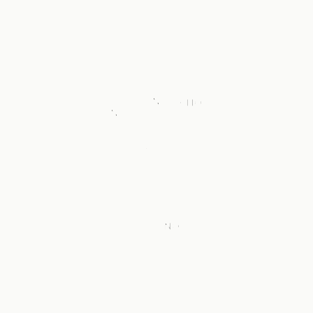 O=Cn1ccnc1-c1ccc([N+](=O)[O-])cc1